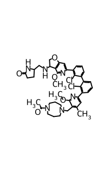 COc1nc(-c2cccc(-c3cccc(-c4cc5c(c(OC)n4)C(NCC4CCC(=O)N4)CO5)c3Cl)c2Cl)cc(C)c1CN1CCCN(C(C)=O)CCC1